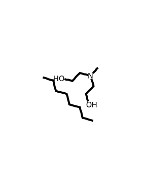 CCCCCCCC.CN(CCO)CCO